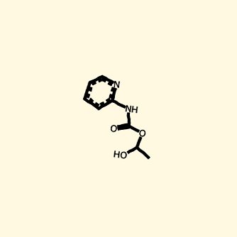 CC(O)OC(=O)Nc1ccccn1